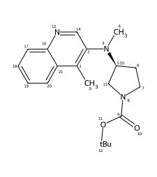 Cc1c(N(C)[C@H]2CCN(C(=O)OC(C)(C)C)C2)cnc2ccccc12